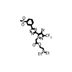 CCN(CC)CCOC(=O)Cn1nc(C(F)(F)F)c(Br)c1-c1nsc(-c2cccc(S(C)(=O)=O)c2)n1